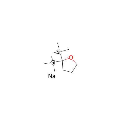 C[Si](C)(C)C1([Si](C)(C)C)CCCO1.[Na]